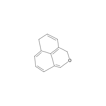 C1=CC2=c3c(cccc3=COC2)C1